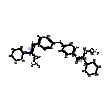 CO/C(=N\c1ccc(Cc2ccc(/N=C(\OC)C3CCCCC3)cc2)cc1)C1CCCCC1